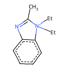 CC[N+]1(CC)C(C)=Nc2ccccc21